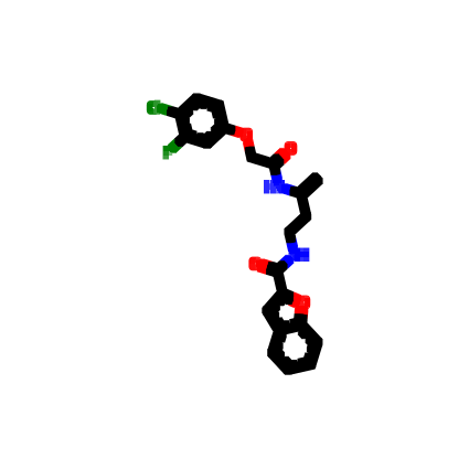 C=C(CCNC(=O)c1cc2ccccc2o1)NC(=O)COc1ccc(Cl)c(F)c1